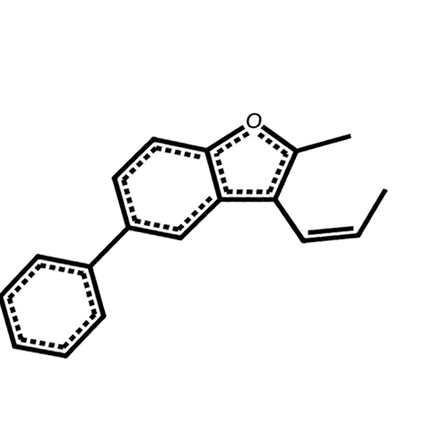 C/C=C\c1c(C)oc2ccc(-c3ccccc3)cc12